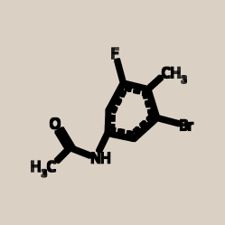 CC(=O)Nc1cc(F)c(C)c(Br)c1